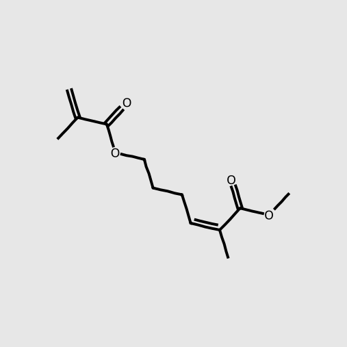 C=C(C)C(=O)OCCCC=C(C)C(=O)OC